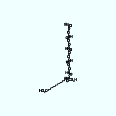 CC(C)(C)C(=O)COCCOCCNC(=O)COCCOCCNC(=O)COCCOCCNC(=O)COCCOCCNC(=O)CC[C@H](NC(=O)CCCCCCCCCCCCCCCCC(=O)O)C(=O)O